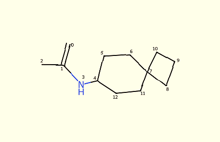 C=C(C)NC1CCC2(CCC2)CC1